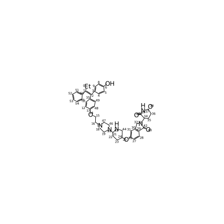 CC/C(=C(\c1ccc(O)cc1)c1ccc(OCCN2CCN(C3CCC(Oc4ccc5c(c4)CN(C4CCC(=O)NC4=O)C5=O)CN3)CC2)cc1)c1ccccc1